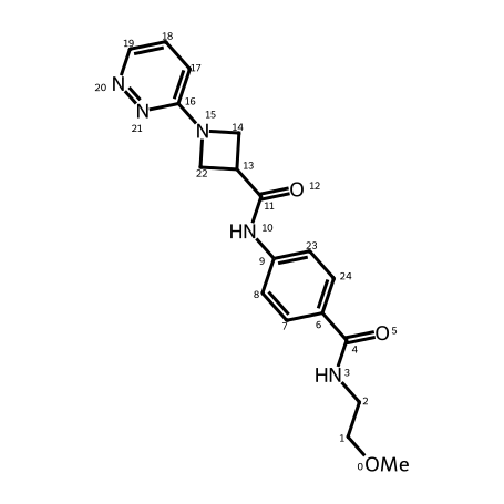 COCCNC(=O)c1ccc(NC(=O)C2CN(c3cccnn3)C2)cc1